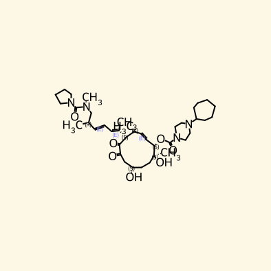 C/C(=C\C=C\[C@@H](C)CN(C)C(=O)N1CCCC1)[C@H]1C(=O)C(=O)C[C@@H](O)CC[C@](C)(O)[C@@H](OC(=O)N2CCN(C3CCCCCC3)CC2)/C=C/[C@@H]1C